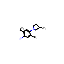 Bc1cc(N)c(CC)cc1N1CCC(C)C1